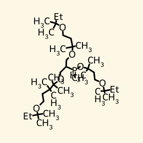 CCC(C)(C)OCCC(C)(C)OCC(COC(C)(C)C(C)(C)CCOC(C)(C)CC)P(C)OC(C)(C)CCOC(C)(C)CC